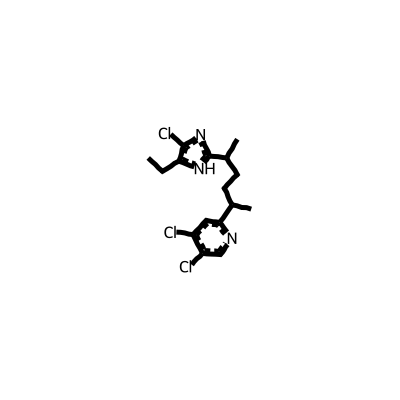 CCc1[nH]c(C(C)CCC(C)c2cc(Cl)c(Cl)cn2)nc1Cl